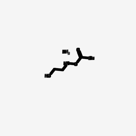 CC(C)(C)C(=O)ONCCO.N